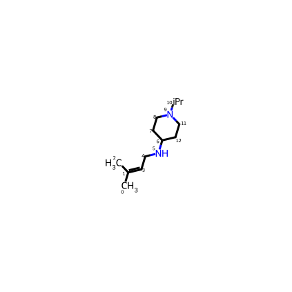 CC(C)=CCNC1CCN(C(C)C)CC1